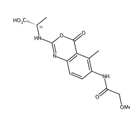 COCC(=O)Nc1ccc2nc(N[C@@H](C)C(=O)O)oc(=O)c2c1C